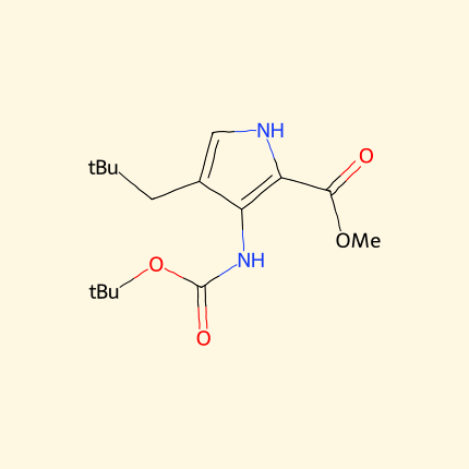 COC(=O)c1[nH]cc(CC(C)(C)C)c1NC(=O)OC(C)(C)C